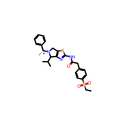 CCS(=O)(=O)c1ccc(CC(=O)Nc2nc3c(s2)CN([C@H](C)c2ccccc2)C3C(C)C)cc1